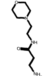 NCCC(=O)NCCN1CCOCC1